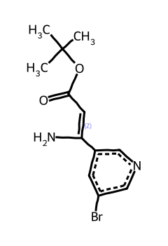 CC(C)(C)OC(=O)/C=C(\N)c1cncc(Br)c1